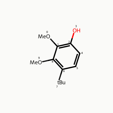 COc1c(O)ccc(C(C)(C)C)c1OC